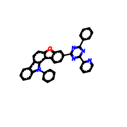 c1ccc(-c2nc(-c3ccc4c(c3)oc3ccc5c6ccccc6n(-c6ccccc6)c5c34)nc(-c3ccccn3)n2)cc1